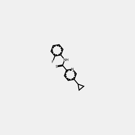 Fc1ccccc1NC(=S)c1ccc(C2CC2)cn1